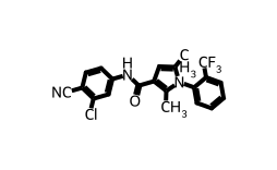 Cc1cc(C(=O)Nc2ccc(C#N)c(Cl)c2)c(C)n1-c1ccccc1C(F)(F)F